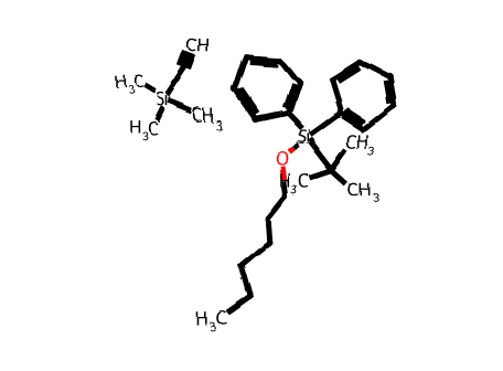 C#C[Si](C)(C)C.CCCCCCO[Si](c1ccccc1)(c1ccccc1)C(C)(C)C